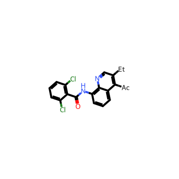 CCc1cnc2c(NC(=O)c3c(Cl)cccc3Cl)cccc2c1C(C)=O